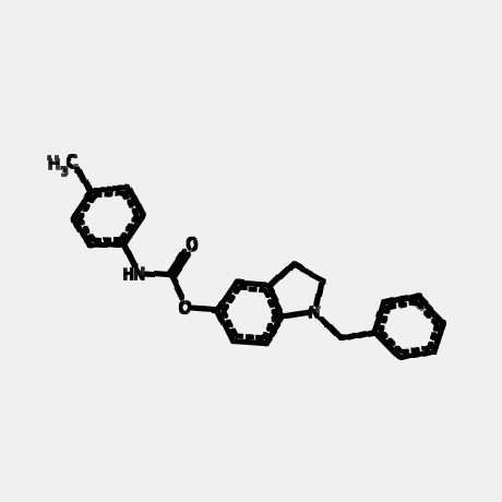 Cc1ccc(NC(=O)Oc2ccc3c(c2)CCN3Cc2ccccc2)cc1